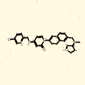 CN(Cc1ccc2c(c1)CCC(n1ccc(OCc3ccc(Cl)cn3)cc1=O)=C2)C1CCOC1